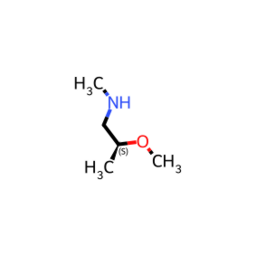 CNC[C@H](C)OC